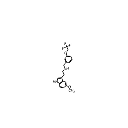 COc1ccc2[nH]cc(CCNCc3cccc(OCC(F)(F)F)c3)c2c1